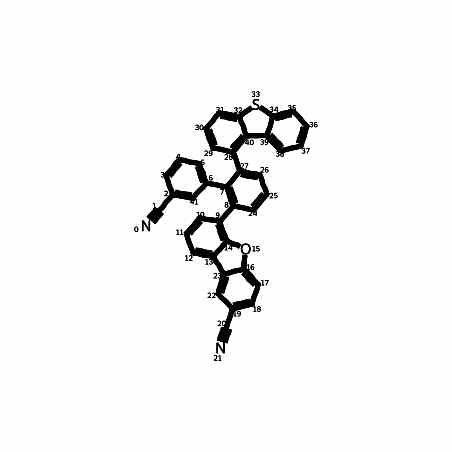 N#Cc1cccc(-c2c(-c3cccc4c3oc3ccc(C#N)cc34)cccc2-c2cccc3sc4ccccc4c23)c1